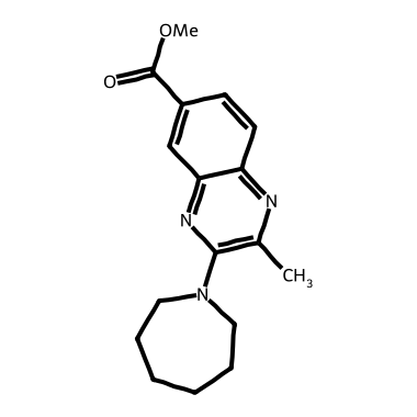 COC(=O)c1ccc2nc(C)c(N3CCCCCC3)nc2c1